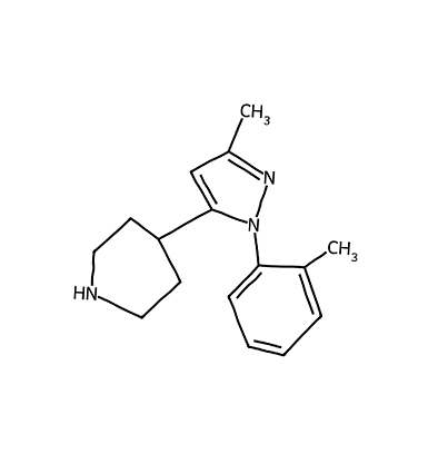 Cc1cc(C2CCNCC2)n(-c2ccccc2C)n1